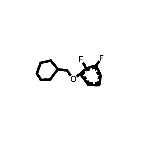 Fc1cccc(OCC2CCCCC2)c1F